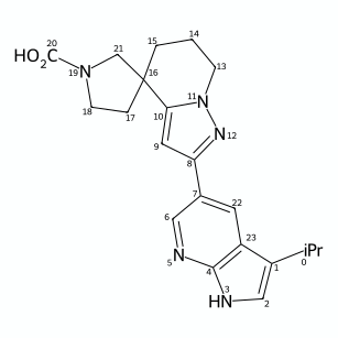 CC(C)c1c[nH]c2ncc(-c3cc4n(n3)CCCC43CCN(C(=O)O)C3)cc12